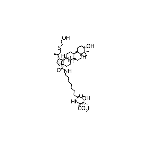 C=C(CSCCO)[C@@H]1CC[C@]2(C(=O)NCCCCCCCC(=O)N[C@H](C(=O)O)[C@@H](C)O)CC[C@]3(C)[C@H](CCC4[C@@]5(C)CC[C@H](O)C(C)(C)[C@@H]5CC[C@]43C)[C@@H]12